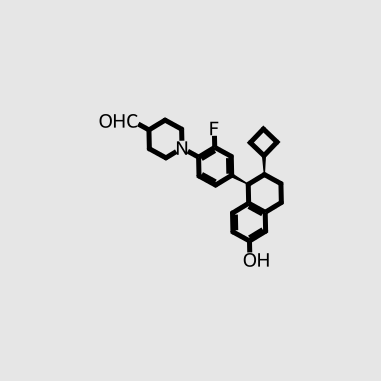 O=CC1CCN(c2ccc([C@@H]3c4ccc(O)cc4CC[C@@H]3C3CCC3)cc2F)CC1